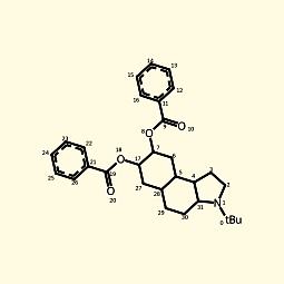 CC(C)(C)N1CCC2C3CC(OC(=O)c4ccccc4)C(OC(=O)c4ccccc4)CC3CCC21